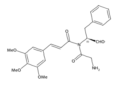 COc1cc(C=CC(=O)N(C(=O)CN)[C@H]([C]=O)Cc2ccccc2)cc(OC)c1OC